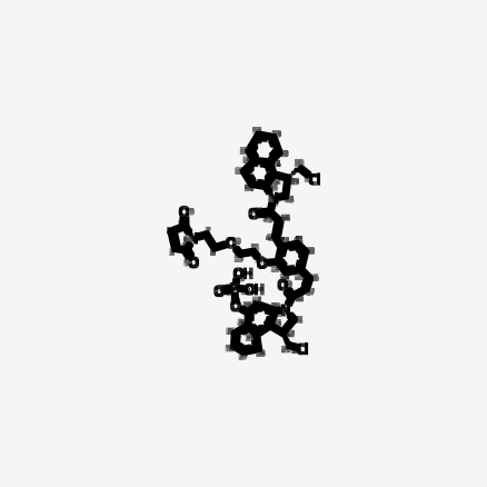 O=C1C=CC(=O)N1CCOCCOc1cc(/C=C\C(=O)N2C[C@@H](CCl)c3c2cc(OP(=O)(O)O)c2ccccc32)ccc1/C=C/C(=O)N1C[C@@H](CCl)c2c1c[c]c1ccccc21